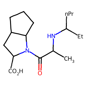 CCCC(CC)NC(C)C(=O)N1C(C(=O)O)CC2CCCC21